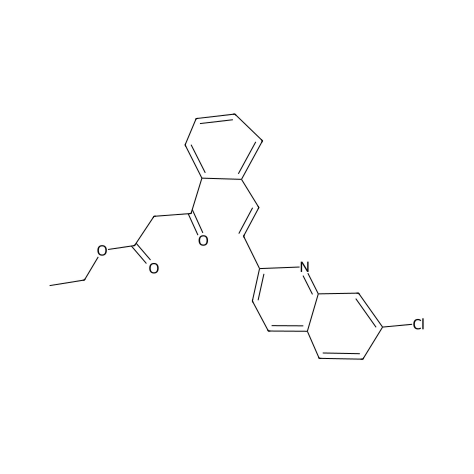 CCOC(=O)CC(=O)c1ccccc1C=Cc1ccc2ccc(Cl)cc2n1